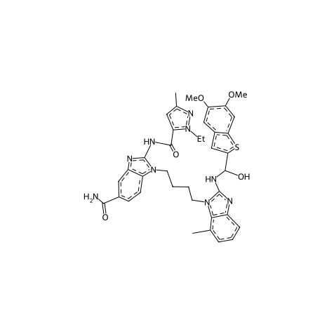 CCn1nc(C)cc1C(=O)Nc1nc2cc(C(N)=O)ccc2n1CCCCn1c(NC(O)c2cc3cc(OC)c(OC)cc3s2)nc2cccc(C)c21